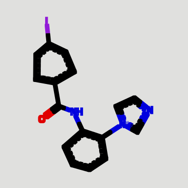 O=C(Nc1ccccc1-n1ccnc1)c1ccc(I)cc1